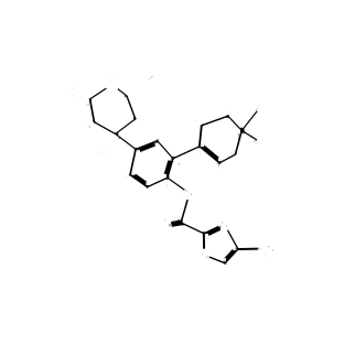 C[C@@H]1C[C@@](O)(c2ccc(NC(=O)c3nc(C#N)c[nH]3)c(C3=CCC(C)(C)CC3)c2)C[C@H](C)O1